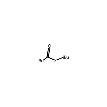 CCC(C)SC(=O)C(C)CC